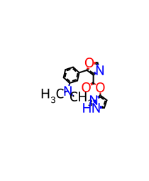 CN(C)c1cccc(-c2ocnc2C(=O)Oc2cc[nH]n2)c1